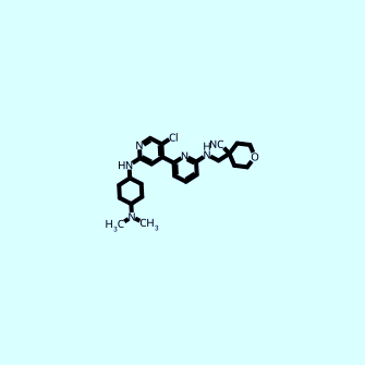 CN(C)C1CCC(Nc2cc(-c3cccc(NCC4(C#N)CCOCC4)n3)c(Cl)cn2)CC1